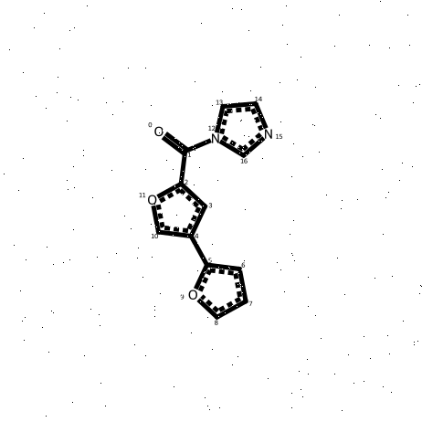 O=C(c1cc(-c2ccco2)co1)n1ccnc1